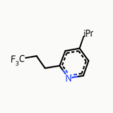 CC(C)c1ccnc(CCC(F)(F)F)c1